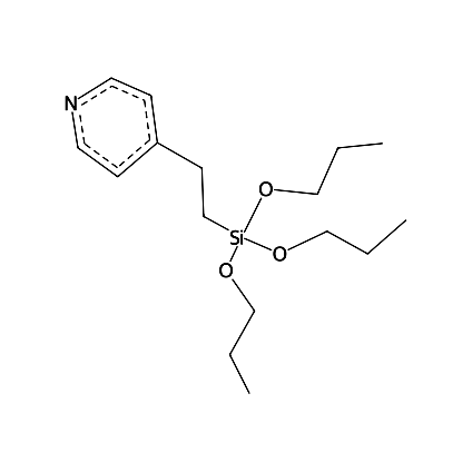 CCCO[Si](CCc1ccncc1)(OCCC)OCCC